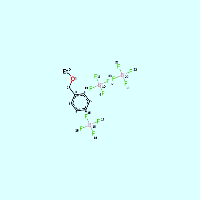 CCOCc1ccccc1.F[B-](F)(F)F.F[B-](F)(F)F.F[B-](F)(F)F